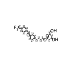 OCC1CC(O)CC(OCCCCc2ccc(OCc3ccc(C(F)(F)F)cc3)cc2)O1